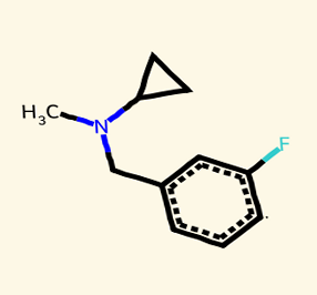 CN(Cc1cc[c]c(F)c1)C1CC1